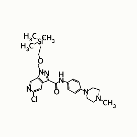 CN1CCN(c2ccc(NC(=O)c3nn(COCC[Si](C)(C)C)c4cnc(Cl)cc34)cc2)CC1